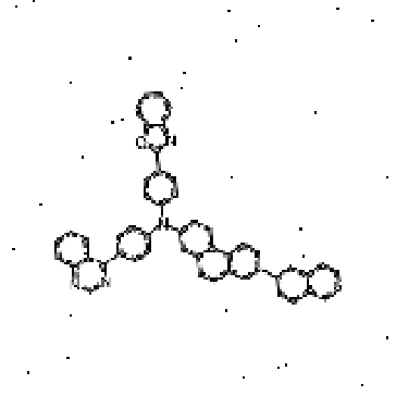 c1ccc2cc(-c3ccc4c(ccc5cc(N(c6ccc(-c7nc8ccccc8o7)cc6)c6ccc(-c7ncnc8ccccc78)cc6)ccc54)c3)ccc2c1